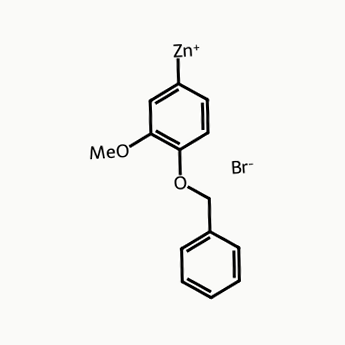 COc1c[c]([Zn+])ccc1OCc1ccccc1.[Br-]